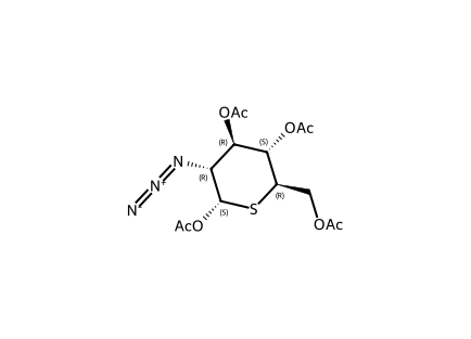 CC(=O)OC[C@H]1S[C@H](OC(C)=O)[C@H](N=[N+]=[N-])[C@@H](OC(C)=O)[C@@H]1OC(C)=O